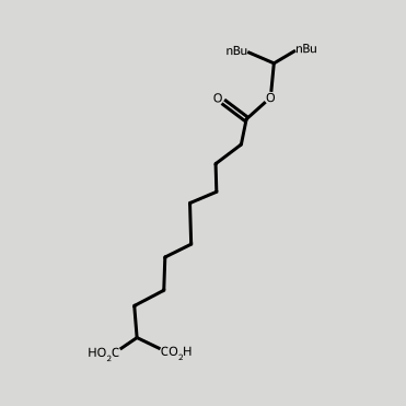 CCCCC(CCCC)OC(=O)CCCCCCCCC(C(=O)O)C(=O)O